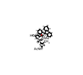 COC(OC)(OC(c1ccccc1)(c1ccccc1)c1ccccc1)C1CC(O)CN1S(=O)(=O)c1sc(NC(C)=O)nc1C